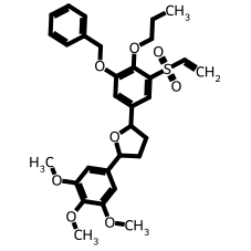 C=CS(=O)(=O)c1cc(C2CCC(c3cc(OC)c(OC)c(OC)c3)O2)cc(OCc2ccccc2)c1OCCC